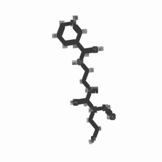 O=NN(CCF)C(=O)NCCOC(=O)c1cccnc1